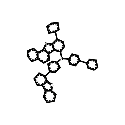 c1ccc(-c2ccc(N(c3ccc(-c4cccc5c4sc4ccccc45)cc3)c3ccc(-c4ccccc4)c4sc5c6ccccc6ccc5c34)cc2)cc1